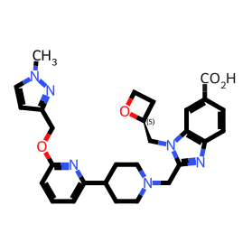 Cn1ccc(COc2cccc(C3CCN(Cc4nc5ccc(C(=O)O)cc5n4C[C@@H]4CCO4)CC3)n2)n1